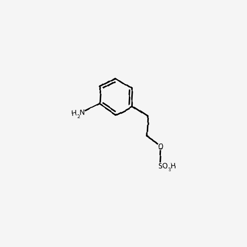 Nc1cccc(CCOS(=O)(=O)O)c1